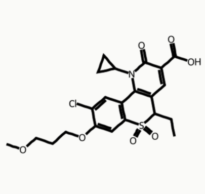 CCC1c2cc(C(=O)O)c(=O)n(C3CC3)c2-c2cc(Cl)c(OCCCOC)cc2S1(=O)=O